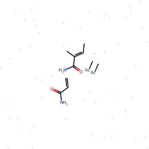 C/C=C(\C)C(N)=O.C=CC(N)=O.CC(C)=O.CC(C)=O